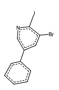 Brc1cc(-c2ccccc2)cnc1I